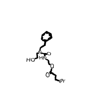 CC(C)CCC(=O)OCCNC(=O)N(CCO)CCc1ccccc1